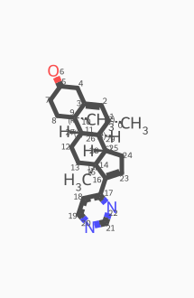 C[C@H]1C=C2CC(=O)CC[C@]2(C)[C@H]2CC[C@]3(C)C(c4ccncn4)=CC[C@H]3[C@H]12